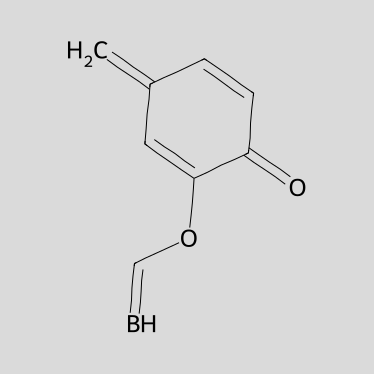 B=COC1=CC(=C)C=CC1=O